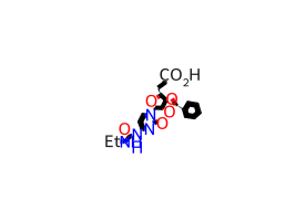 CCNC(=O)Nc1ccn([C@@H]2O[C@H](CCC(=O)O)C3O[C@H](c4ccccc4)OC32)c(=O)n1